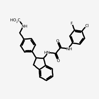 O=C(O)NCc1ccc(C2Cc3ccccc3C2NC(=O)C(=O)Nc2ccc(Cl)c(F)c2)cc1